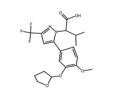 COc1ccc(-c2cc(C(F)(F)F)nn2C(C(=O)O)C(C)C)cc1OC1CCCO1